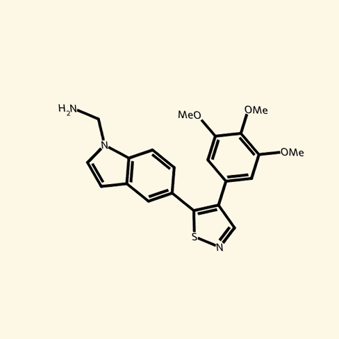 COc1cc(-c2cnsc2-c2ccc3c(ccn3CN)c2)cc(OC)c1OC